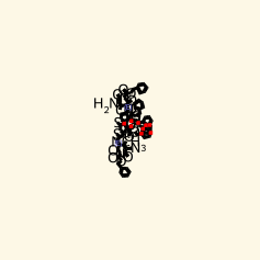 CC1=C(N)C(=O)N(C(=O)OCc2ccccc2)C(=O)/C1=N/C1=Cc2sc3c(c2C1(C(=O)OCc1ccccc1)C(=O)OCc1ccccc1)C(C(=O)OCc1ccccc1)(C(=O)OCc1ccccc1)c1cc(/N=C2/C(=O)N(C(=O)OCc4ccccc4)C(=O)C(C#N)=C2C)sc1-3